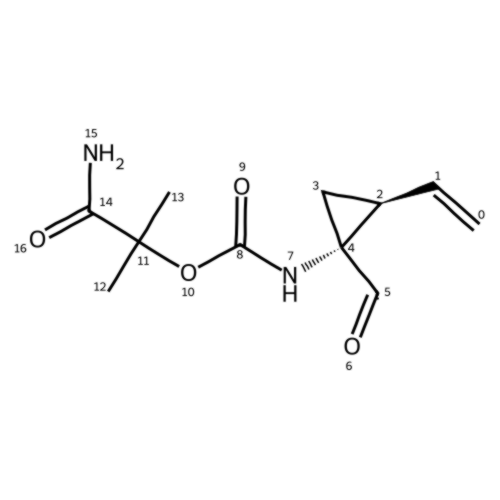 C=C[C@@H]1C[C@@]1([C]=O)NC(=O)OC(C)(C)C(N)=O